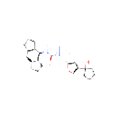 O=C(Nc1c2c(cc3c1CCC3)CCC2)NS(=O)(=O)c1cc(C2(O)CCCC2)co1